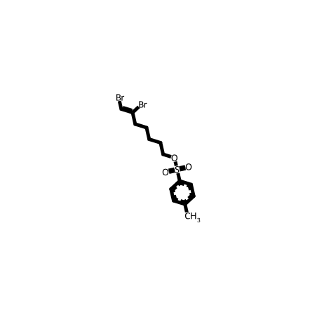 Cc1ccc(S(=O)(=O)OCCCCCC(Br)=CBr)cc1